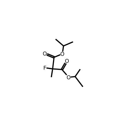 CC(C)OC(=O)C(C)(F)C(=O)OC(C)C